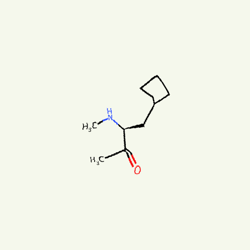 CN[C@@H](CC1CCC1)C(C)=O